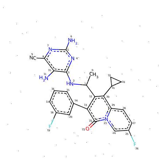 CC(Nc1nc(N)nc(C#N)c1N)c1c(-c2cccc(F)c2)c(=O)n2cc(F)ccc2c1C1CC1